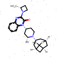 CCC[C@@H]1C[C@H](n2c(=O)c(N3CC[C@H]3C(=O)O)nc3ccccc32)CCN1[C@@H]1C[C@H]2C[C@H]3C[C@@H](C1)C3(C)C2